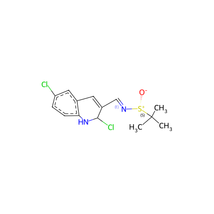 CC(C)(C)[S@@+]([O-])/N=C/C1=Cc2cc(Cl)ccc2NC1Cl